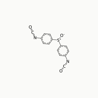 O=C=Nc1ccc([S+]([O-])c2ccc(N=C=O)cc2)cc1